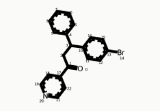 O=C(CC(c1ccccc1)c1ccc(Br)cc1)c1ccncc1